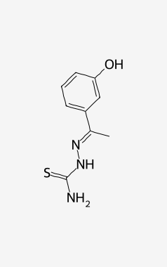 C/C(=N\NC(N)=S)c1cccc(O)c1